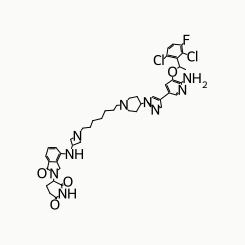 CC(Oc1cc(-c2cnn(C3CCN(CCCCCCCN4CC(Nc5cccc6c5CN(C5CCC(=O)NC5=O)C6=O)C4)CC3)c2)cnc1N)c1c(Cl)ccc(F)c1Cl